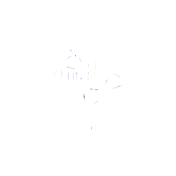 CCOc1ccc(C(=O)Nc2c(Cl)c[n+]([O-])cc2Cl)c2c1oc1ccccc12